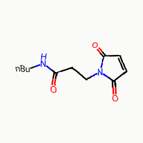 CCCCNC(=O)CCN1C(=O)C=CC1=O